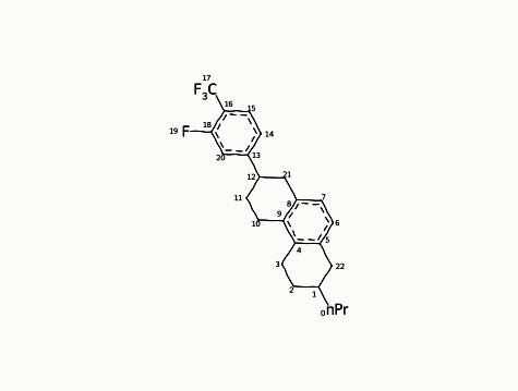 CCCC1CCc2c(ccc3c2CCC(c2ccc(C(F)(F)F)c(F)c2)C3)C1